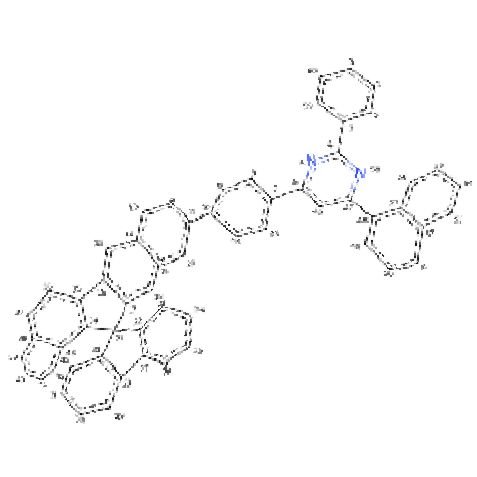 c1ccc(-c2nc(-c3ccc(-c4ccc5cc6c(cc5c4)C4(c5ccccc5-c5ccccc54)c4c-6ccc5ccccc45)cc3)cc(-c3cccc4ccccc34)n2)cc1